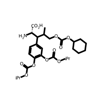 CC(C)OC(=O)Oc1ccc(C(C(C)COC(=O)OC2CCCCC2)[C@H](N)C(=O)O)cc1OC(=O)OC(C)C